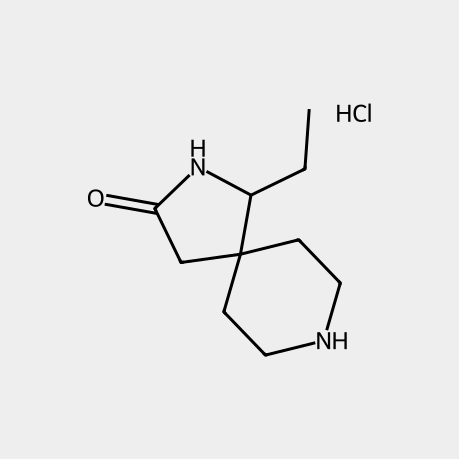 CCC1NC(=O)CC12CCNCC2.Cl